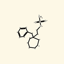 CS(=O)(=O)OCCC1(Cc2ccccc2)CCCCCC1